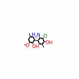 COc1cc(C)cc(-c2cc(C)c(O)c(Cl)c2N)c1O